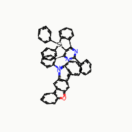 c1ccc(-c2nc(-c3ccccc3-n3c4ccccc4c4cc5oc6ccccc6c5cc43)c3c(n2)-c2ccccc2[Si]3(c2ccccc2)c2ccccc2)cc1